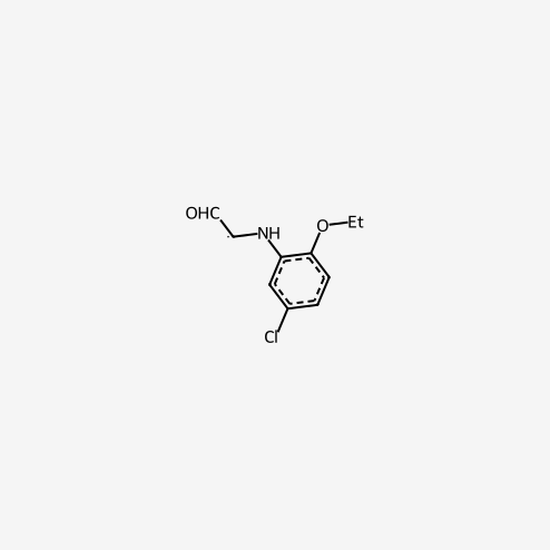 CCOc1ccc(Cl)cc1N[CH]C=O